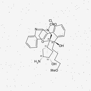 COCCCC[C@@](O)(c1cccc(Cl)c1-c1cnc2ccccc2c1)[C@@]1([C@H]2C[C@@H](N)[C@@H](O)C2)CN(C=O)CCO1